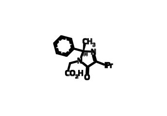 CC(C)C1=N[C@@](C)(c2ccccc2)N(CC(=O)O)C1=O